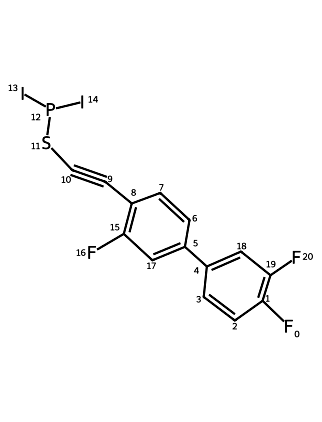 Fc1ccc(-c2ccc(C#CSP(I)I)c(F)c2)cc1F